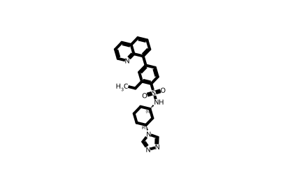 CCc1cc(-c2cccc3cccnc23)ccc1S(=O)(=O)N[C@H]1CCC[C@@H](n2cnnc2)C1